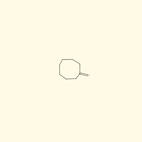 [C]=C1CCCCCCC1